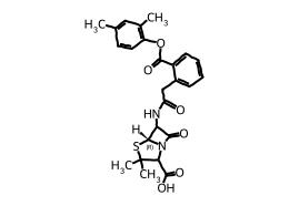 Cc1ccc(OC(=O)c2ccccc2CC(=O)NC2C(=O)N3C(C(=O)O)C(C)(C)S[C@H]23)c(C)c1